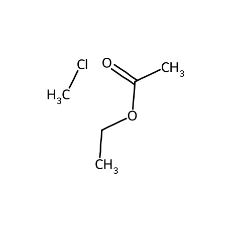 CCOC(C)=O.CCl